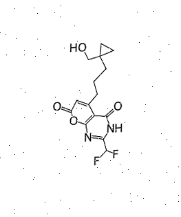 O=c1cc(CCCC2(CO)CC2)c2c(=O)[nH]c(C(F)F)nc2o1